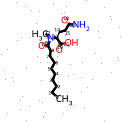 CCCCCCCCCC(=O)N(C)[C@@H](CCC(N)=O)C(=O)O